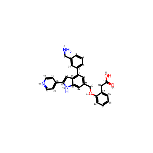 NCc1cccc(-c2cc(COc3ccccc3CC(=O)O)cc3[nH]c(-c4ccncc4)cc23)c1